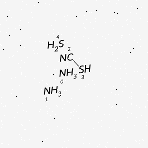 N.N.N#CS.S